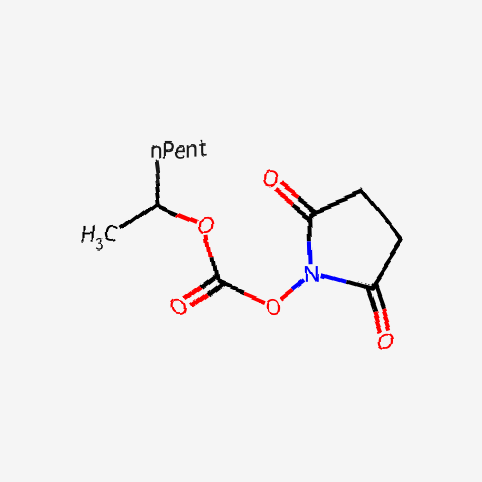 CCCCCC(C)OC(=O)ON1C(=O)CCC1=O